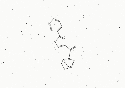 O=C(c1csc(-c2cccnc2)c1)N1CCN2CCC1CC2